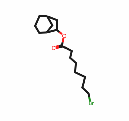 O=C(CCCCCCCBr)OC1CC2CCCC1C2